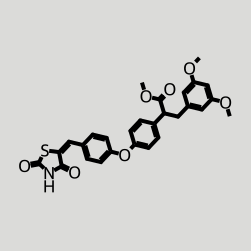 COC(=O)C(Cc1cc(OC)cc(OC)c1)c1ccc(Oc2ccc(/C=C3/SC(=O)NC3=O)cc2)cc1